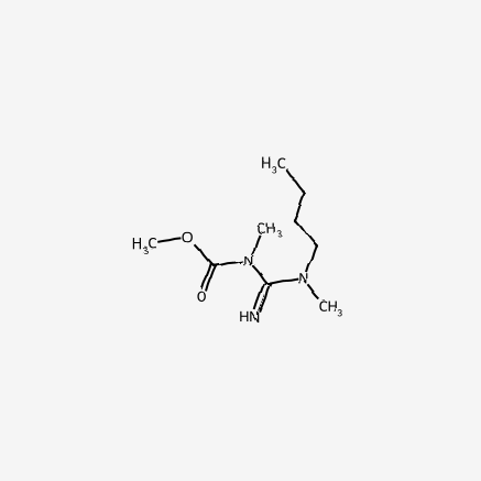 CCCCN(C)C(=N)N(C)C(=O)OC